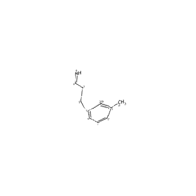 Cc1cccc(CCC=N)c1